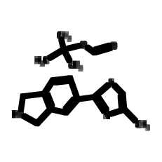 CC(C)(C)OC=O.Cc1csc(-c2ccc3c(c2)CNC3)n1